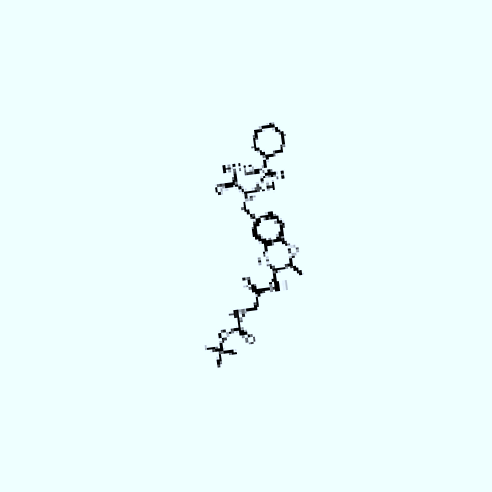 CC1Oc2ccc(C[C@H](NS(=O)(=O)C3CCCCC3)C(=O)O)cc2OC1NC(=O)CNC(=O)OC(C)(C)C